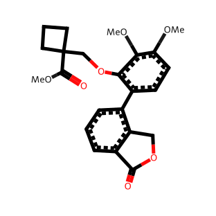 COC(=O)C1(COc2c(-c3cccc4c3COC4=O)ccc(OC)c2OC)CCC1